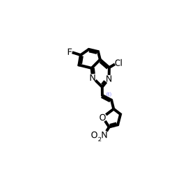 O=[N+]([O-])C1=CCC(/C=C/c2nc(Cl)c3ccc(F)cc3n2)O1